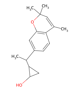 CC1=CC(C)(C)Oc2cc(C(C)C3CC3O)ccc21